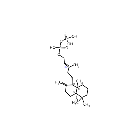 C=C1CC[C@@H]2C(C)(C)CCC[C@@]2(C)[C@@H]1CC/C(C)=C/COP(=O)(O)OP(=O)(O)O